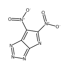 O=[N+]([O-])C1=NC2=NN=NC2=C1[N+](=O)[O-]